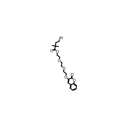 CC(C)CCC(C)(C)C(=O)OCCOCCOCCOc1cc2ccccc2oc1=O